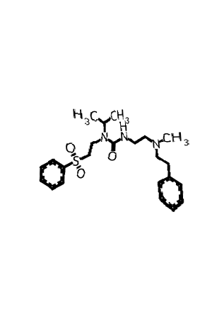 CC(C)N(CCS(=O)(=O)c1ccccc1)C(=O)NCCN(C)CCc1ccccc1